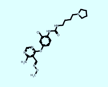 CON=Cc1c(N)ncnc1Oc1ccc(NC(=O)NCCCCN2CCCC2)c(Cl)c1